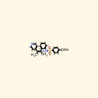 COc1ccc(S(=O)(=O)Nc2ccccc2C(C)=C(C)c2ccncc2)cc1